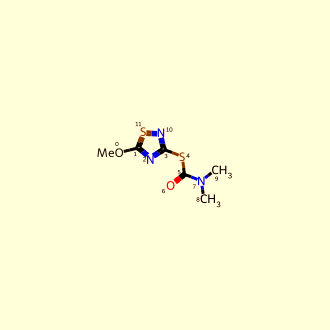 COc1nc(SC(=O)N(C)C)ns1